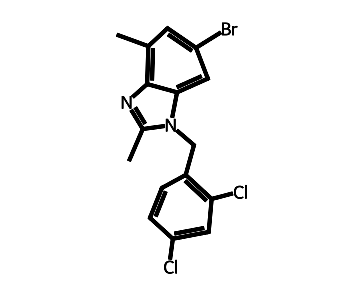 Cc1cc(Br)cc2c1nc(C)n2Cc1ccc(Cl)cc1Cl